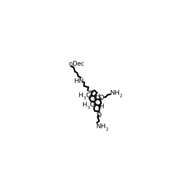 CCCCCCCCCCCCCCCCNCCCC[C@H]1CCC2[C@H]3C(CC[C@@]21C)[C@@]1(C)CC[C@@H](OCCCN)C[C@H]1C[C@H]3OCCCN